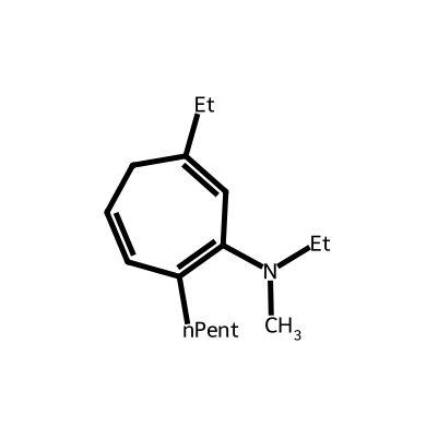 CCCCCC1=C(N(C)CC)C=C(CC)CC=C1